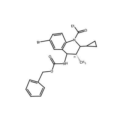 CCC(=O)N1c2ccc(Br)cc2C(NC(=O)OCc2ccccc2)[C@@H](C)C1C1CC1